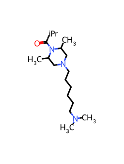 CC(C)C(=O)N1C(C)CN(CCCCCCN(C)C)CC1C